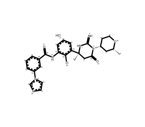 C[C@@H]1C[C@H](N2C(=N)N[C@](C)(c3cccc(NC(=O)c4cccc(-n5ccnc5)c4)c3Cl)CC2=O)CCO1.Cl